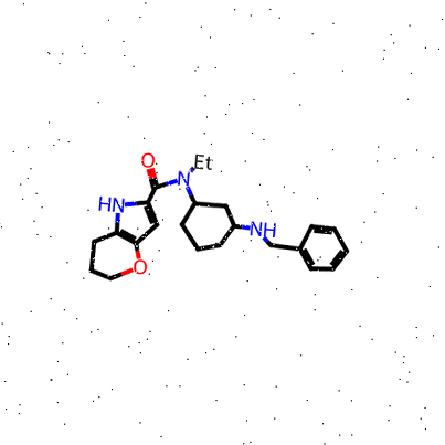 CCN(C(=O)c1cc2c([nH]1)CCCO2)C1CCCC(NCc2ccccc2)C1